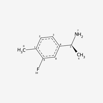 Cc1ccc([C@H](C)N)cc1F